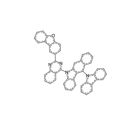 c1ccc2c(-n3c4ccccc4c4ccccc43)c3c4ccccc4n(-c4nc(-c5ccc6oc7ccccc7c6c5)nc5ccccc45)c3cc2c1